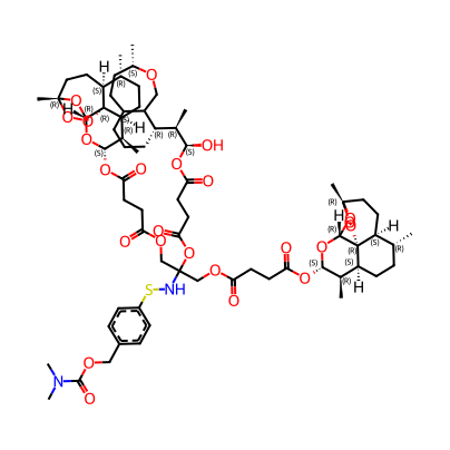 C[C@H]([C@@H]1CCCC2CC[C@H](C)OCC21)[C@@H](O)OC(=O)CCC(=O)OC(COC(=O)CCC(=O)O[C@@H]1O[C@@H]2O[C@@]3(C)CC[C@H]4[C@H](C)CC[C@@H]([C@H]1C)[C@@]24OO3)(COC(=O)CCC(=O)O[C@@H]1O[C@@H]2O[C@@]3(C)CC[C@H]4[C@H](C)CC[C@@H]([C@H]1C)[C@@]24OO3)NSc1ccc(COC(=O)N(C)C)cc1